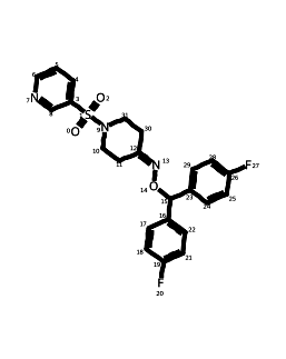 O=S(=O)(c1cccnc1)N1CCC(=NOC(c2ccc(F)cc2)c2ccc(F)cc2)CC1